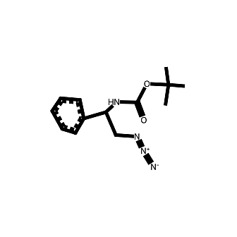 CC(C)(C)OC(=O)NC(CN=[N+]=[N-])c1ccccc1